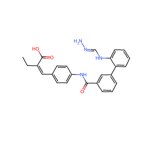 CCC(=Cc1ccc(NC(=O)c2cccc(-c3ccccc3NC=NN)c2)cc1)C(=O)O